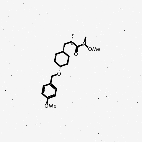 COc1ccc(CO[C@H]2CC[C@H](C[C@H](C)C(=O)N(C)OC)CC2)cc1